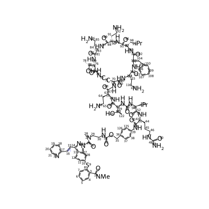 CNC(=O)c1ccccc1Sc1ccc2c(/C=C/c3ccccn3)nn(C(=O)N(C)CCNC(=O)OCc3ccc(NC(=O)[C@H](CCCNC(N)=O)NC(=O)[C@@H](NC(=O)N[C@H](C(=O)N[C@@H](CCN)C(=O)N[C@H]4CCNC(=O)[C@H]([C@@H](C)O)NC(=O)[C@H](CCN)NC(=O)[C@H](CCN)NC(=O)[C@H](CC(C)C)NC(=O)[C@@H](Cc5ccccc5)NC(=O)[C@H](CCN)NC4=O)[C@@H](C)O)C(C)C)cc3)c2c1